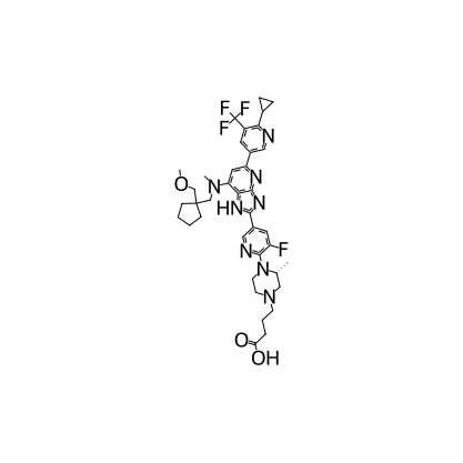 COCC1(CN(C)c2cc(-c3cnc(C4CC4)c(C(F)(F)F)c3)nc3nc(-c4cnc(N5CCN(CCCC(=O)O)C[C@H]5C)c(F)c4)[nH]c23)CCCC1